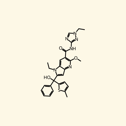 CCn1cnc(NC(=O)c2cc3c(cc(C(O)(c4ccccc4)c4ccc(C)s4)n3CC)nc2OC)n1